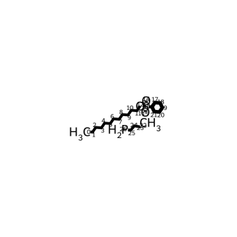 CCCCCCCCCCCCOS(=O)(=O)c1ccccc1.CCCCP